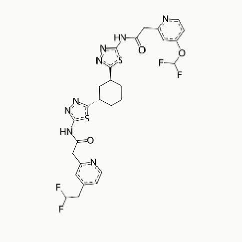 O=C(Cc1cc(CC(F)F)ccn1)Nc1nnc([C@H]2CCC[C@H](c3nnc(NC(=O)Cc4cc(OC(F)F)ccn4)s3)C2)s1